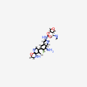 C=NC[C@H]1COC[C@@H]1OC(=O)Nc1cc2cc(-c3cnc4c(c3C)NCCO4)c(F)c(N)c2cn1